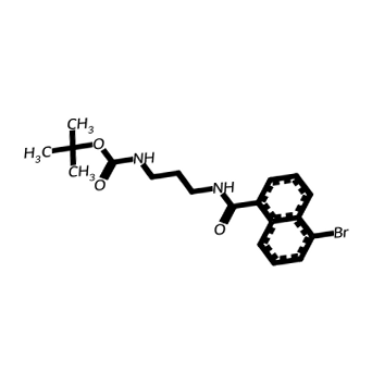 CC(C)(C)OC(=O)NCCCNC(=O)c1cccc2c(Br)cccc12